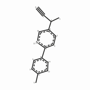 C#CC(C)c1ccc(-c2ccc(C)cc2)nc1